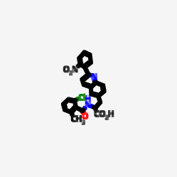 Cc1cccc(Cl)c1C(=O)NC(Cc1ccc2nc(-c3ccccc3[N+](=O)[O-])ccc2c1)C(=O)O